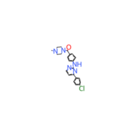 CN1CCN(C(=O)c2ccc(Nc3nccc(-c4ccc(Cl)cc4)n3)cc2)CC1